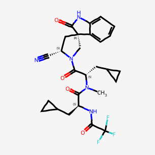 CN(C(=O)[C@H](CC1CC1)NC(=O)C(F)(F)F)[C@@H](CC1CC1)C(=O)N1C[C@]2(C[C@H]1C#N)C(=O)Nc1ccccc12